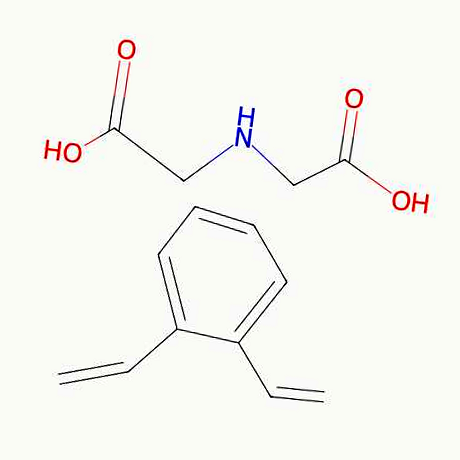 C=Cc1ccccc1C=C.O=C(O)CNCC(=O)O